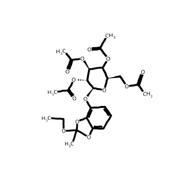 CCOC1(C)Oc2cccc(O[C@@H]3O[C@H](COC(C)=O)C(OC(C)=O)[C@H](OC(C)=O)[C@H]3OC(C)=O)c2O1